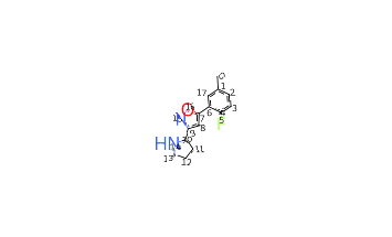 Cc1ccc(F)c(-c2cc(C3CCCN3)no2)c1